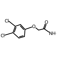 [NH]C(=O)COc1ccc(Cl)c(Cl)c1